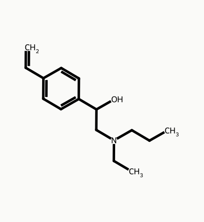 C=Cc1ccc(C(O)CN(CC)CCC)cc1